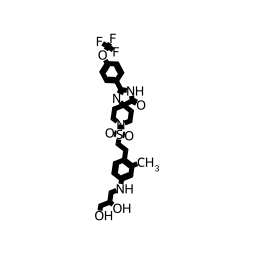 Cc1cc(NCC(O)CO)ccc1CCS(=O)(=O)N1CCC2(CC1)N=C(c1ccc(OC(F)(F)F)cc1)NC2=O